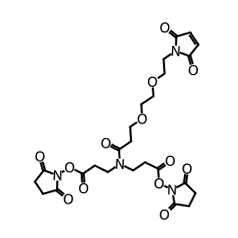 O=C(CCN(CCC(=O)ON1C(=O)CCC1=O)C(=O)CCOCCOCCN1C(=O)C=CC1=O)ON1C(=O)CCC1=O